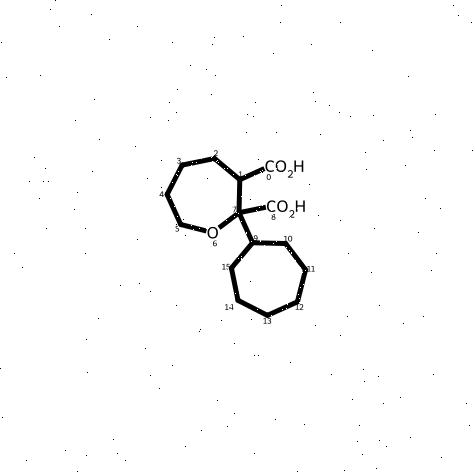 O=C(O)C1CCCCOC1(C(=O)O)C1CCCCCC1